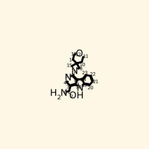 NC(=O)c1cnc(N2CC3(CCOCC3)C2)c2c1[nH]c1ccccc12